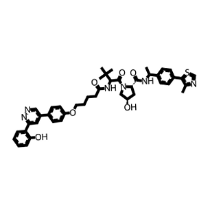 Cc1ncsc1-c1ccc(C(C)NC(=O)[C@@H]2C[C@@H](O)CN2C(=O)C(NC(=O)CCCCOc2ccc(-c3cnnc(-c4ccccc4O)c3)cc2)C(C)(C)C)cc1